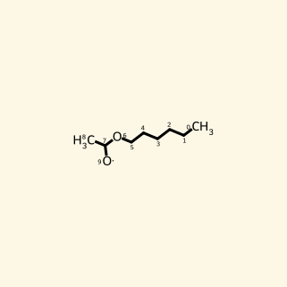 CCCCCCOC(C)[O]